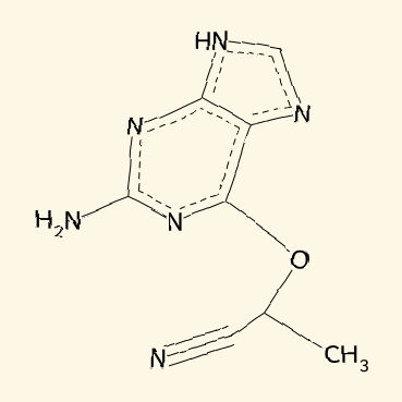 CC(C#N)Oc1nc(N)nc2[nH]cnc12